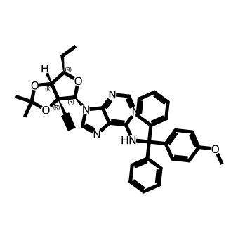 C#C[C@@]12OC(C)(C)O[C@@H]1[C@@H](CC)O[C@H]2n1cnc2c(NC(c3ccccc3)(c3ccccc3)c3ccc(OC)cc3)ncnc21